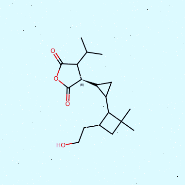 CC(C)C1C(=O)OC(=O)[C@@H]1C1CC1C1C(CCO)CC1(C)C